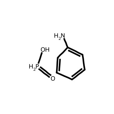 Nc1ccccc1.O=[PH2]O